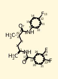 C=C(CC[C@H](C)C(=O)Nc1ccc(F)cc1)NC(=O)c1ccc(F)c(F)c1